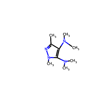 Cc1nn(C)c(N(C)C)c1N(C)C